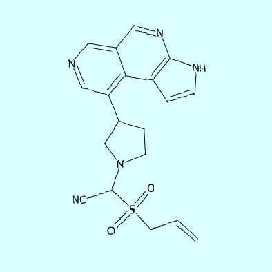 C=CCS(=O)(=O)C(C#N)N1CCC(c2cncc3cnc4[nH]ccc4c23)C1